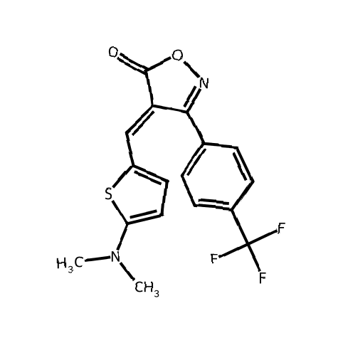 CN(C)c1ccc(/C=C2/C(=O)ON=C2c2ccc(C(F)(F)F)cc2)s1